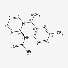 CC(C)C(=O)N[C@H]1N=CC=CN1C(C)c1cccc(C(F)(F)F)c1